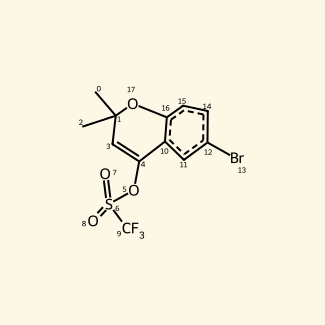 CC1(C)C=C(OS(=O)(=O)C(F)(F)F)c2cc(Br)ccc2O1